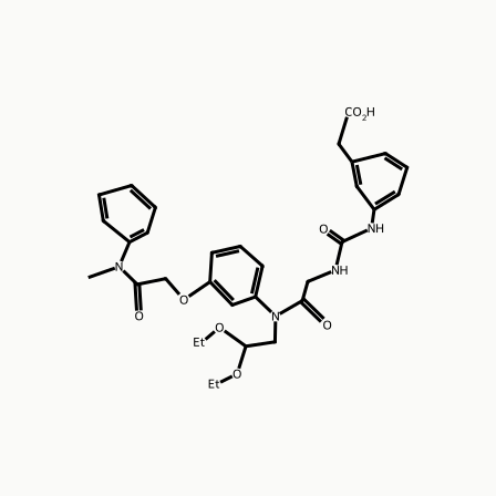 CCOC(CN(C(=O)CNC(=O)Nc1cccc(CC(=O)O)c1)c1cccc(OCC(=O)N(C)c2ccccc2)c1)OCC